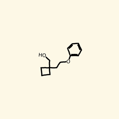 OCC1(CCOc2ccccc2)CCC1